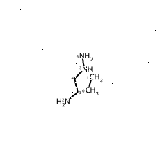 CC.NCCNN